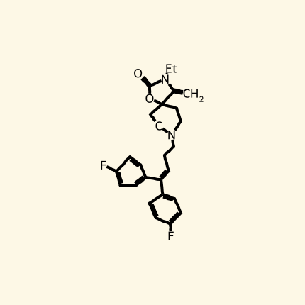 C=C1N(CC)C(=O)OC12CCN(CCC=C(c1ccc(F)cc1)c1ccc(F)cc1)CC2